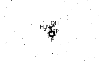 Cl.N[C@H](CO)c1ccc(F)cc1